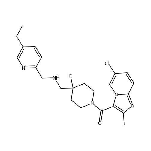 CCc1ccc(CNCC2(F)CCN(C(=O)c3c(C)nc4ccc(Cl)cn34)CC2)nc1